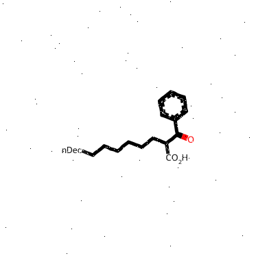 CCCCCCCCCCCCCCCCC(C(=O)O)C(=O)c1ccccc1